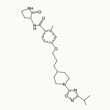 Cc1cc(OCCCC2CCN(c3nc(C(C)C)no3)CC2)ccc1C(=O)NC1CCNC1=O